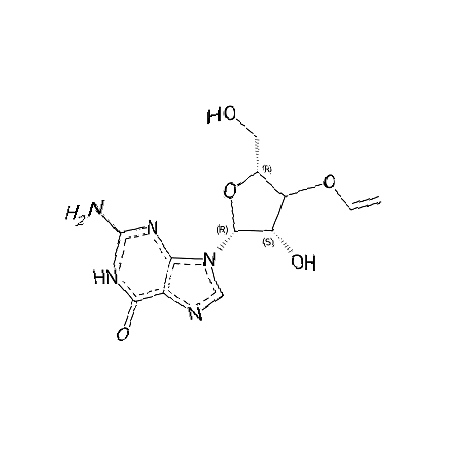 C=COC1[C@@H](CO)O[C@@H](n2cnc3c(=O)[nH]c(N)nc32)[C@H]1O